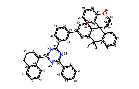 CC1(C)c2ccccc2C2(c3ccccc3Oc3ccccc32)c2ccc(-c3cccc(-c4nc(C5=CCCc6ccccc65)nc(-c5ccccc5)n4)c3)cc21